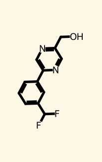 OCc1cnc(-c2cccc(C(F)F)c2)cn1